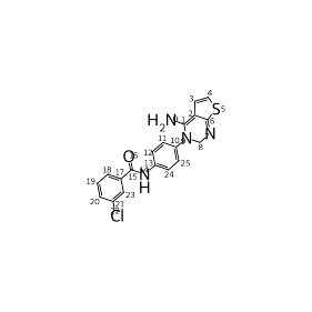 NC1=c2ccsc2=NCN1c1ccc(NC(=O)c2cccc(Cl)c2)cc1